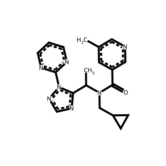 Cc1cncc(C(=O)N(CC2CC2)C(C)c2ncnn2-c2ncccn2)c1